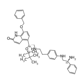 CC(C)(C)[Si](C)(C)O[C@@H](CNCCc1ccc(NC[C@@H](N)c2ccccc2)cc1)c1ccc(OCc2ccccc2)c2[nH]c(=O)ccc12